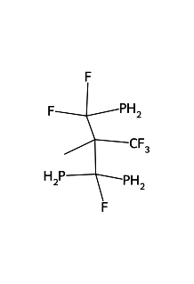 CC(C(F)(F)F)(C(F)(F)P)C(F)(P)P